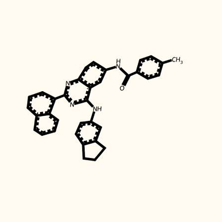 Cc1ccc(C(=O)Nc2ccc3nc(-c4cccc5ccccc45)nc(Nc4ccc5c(c4)CCC5)c3c2)cc1